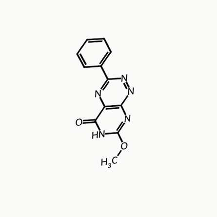 COc1nc2nnc(-c3ccccc3)nc2c(=O)[nH]1